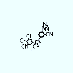 N#Cc1cc(C2=CSC(c3cc(Cl)c(Cl)c(Cl)c3)(C(F)(F)F)C2)ccc1-n1cncn1